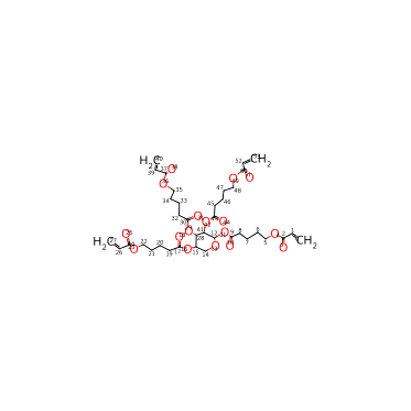 C=CC(=O)OCCCCC(=O)OC1OC[C@@H](OC(=O)CCCCOC(=O)C=C)C(OC(=O)CCCCOC(=O)C=C)[C@H]1OC(=O)CCCCOC(=O)C=C